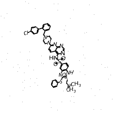 CN(C)CC[C@H](CSc1ccccc1)Nc1ccc(S(=O)(=O)Nc2ncnc3nc(N4CCN(Cc5ccccc5-c5ccc(Cl)cc5)CC4)ccc23)cc1[N+](=O)[O-]